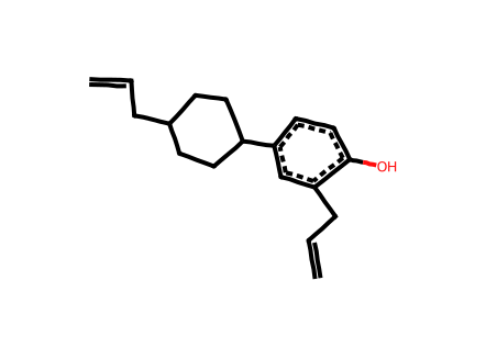 C=CCc1cc(C2CCC(CC=C)CC2)ccc1O